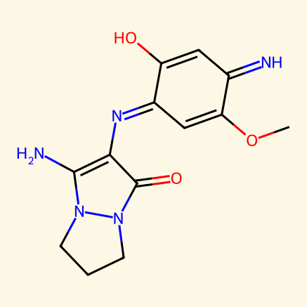 COC1=C/C(=N\c2c(N)n3n(c2=O)CCC3)C(O)=CC1=N